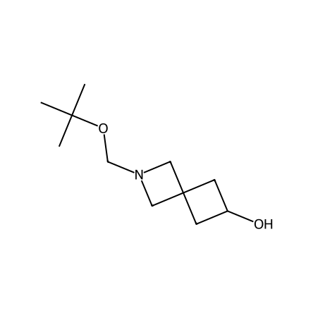 CC(C)(C)OCN1CC2(CC(O)C2)C1